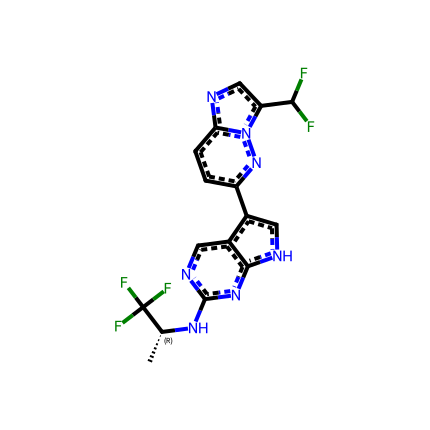 C[C@@H](Nc1ncc2c(-c3ccc4ncc(C(F)F)n4n3)c[nH]c2n1)C(F)(F)F